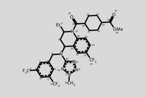 CCC1CC(N(Cc2cc(C(F)(F)F)cc(C(F)(F)F)c2)c2nnn(C)n2)c2cc(C(F)(F)F)ccc2N1C(=O)C1CCC(C(=O)OC)CC1